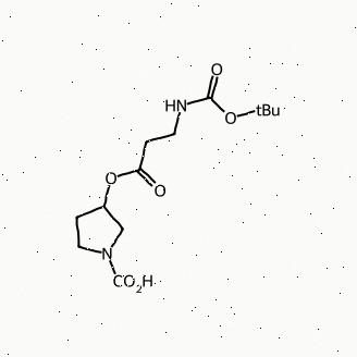 CC(C)(C)OC(=O)NCCC(=O)OC1CCN(C(=O)O)C1